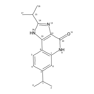 CC(C)c1ccc2c(c1)[nH]c(=O)c1nc(C(C)C)[nH]c12